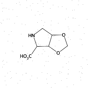 O=C(O)C1NCC2OCOC21